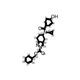 O=C(c1ccc(O)cc1)N(C1CC1)C1CCc2nn(C(=O)OCc3ccccc3)cc2C1